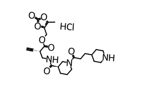 C#C[C@@H](CNC(=O)[C@@H]1CCCN(C(=O)CCC2CCNCC2)C1)C(=O)OCc1oc(=O)oc1C.Cl